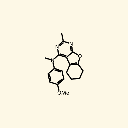 COc1ccc(N(C)c2nc(C)nc3oc4c(c23)CCCC4)cc1